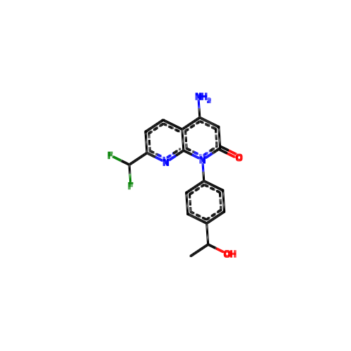 CC(O)c1ccc(-n2c(=O)cc(N)c3ccc(C(F)F)nc32)cc1